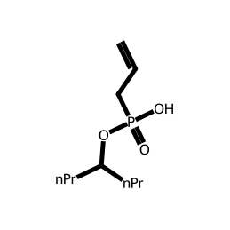 C=CCP(=O)(O)OC(CCC)CCC